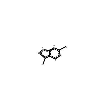 Cc1ccc2c(C)onc2n1